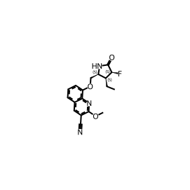 CC[C@@H]1[C@H](F)C(=O)N[C@@H]1COc1cccc2cc(C#N)c(OC)nc12